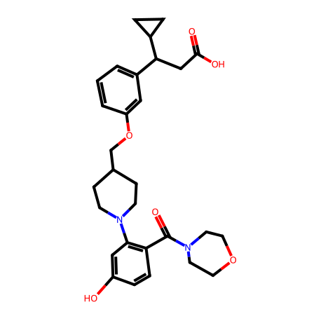 O=C(O)CC(c1cccc(OCC2CCN(c3cc(O)ccc3C(=O)N3CCOCC3)CC2)c1)C1CC1